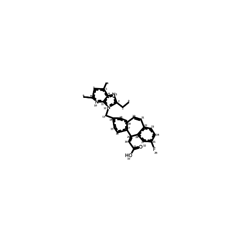 CCc1nc2c(C)cc(C)nc2n1Cc1ccc2c(c1)C=Cc1ccc(F)cc1/C2=C\C(=O)O